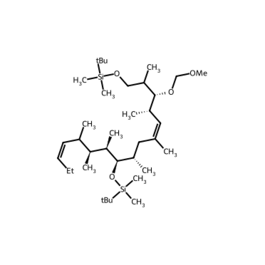 CC/C=C\C(C)[C@H](C)[C@@H](C)[C@H](O[Si](C)(C)C(C)(C)C)[C@@H](C)C/C(C)=C\[C@H](C)[C@@H](OCOC)C(C)CO[Si](C)(C)C(C)(C)C